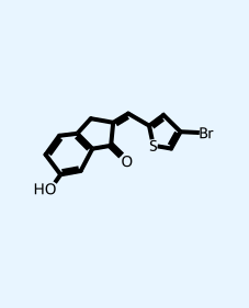 O=C1C(=Cc2cc(Br)cs2)Cc2ccc(O)cc21